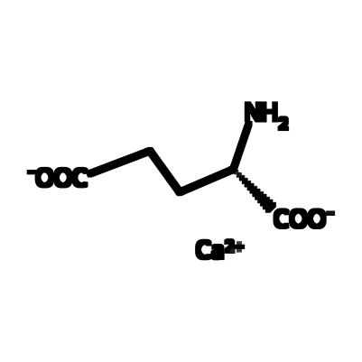 N[C@@H](CCC(=O)[O-])C(=O)[O-].[Ca+2]